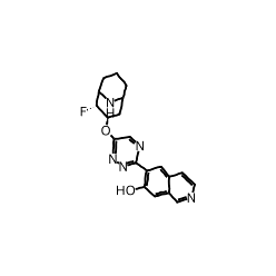 Oc1cc2cnccc2cc1-c1ncc(O[C@@H]2CC3CCCC(N3)[C@H]2F)nn1